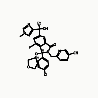 CCC(O)(c1cc(F)c2c(c1)C(=O)N(Cc1ccc(C#N)cn1)[C@@]2(O[C@@H]1CCOC1)c1ccc(Cl)cc1)c1cn(C)cn1